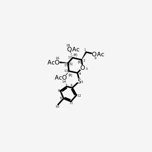 CC(=O)OC[C@H]1OC(Sc2ccc(C)cc2)[C@H](OC(C)=O)[C@@H](OC(C)=O)[C@@H]1OC(C)=O